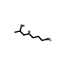 CC(O)CNCCCN